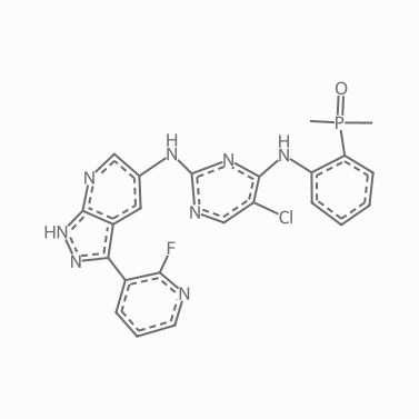 CP(C)(=O)c1ccccc1Nc1nc(Nc2cnc3[nH]nc(-c4cccnc4F)c3c2)ncc1Cl